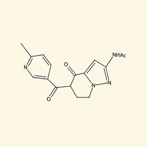 CC(=O)Nc1cc2n(n1)CCC(C(=O)c1ccc(C)nc1)C2=O